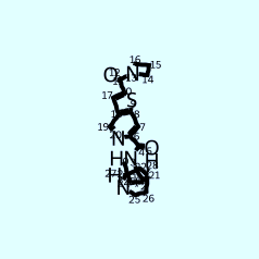 C[C@H]1[C@H](NC(=O)c2cc3sc(C(=O)N4CCC4)cc3cn2)C2CCN1CC2